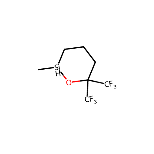 C[SiH]1CCCC(C(F)(F)F)(C(F)(F)F)O1